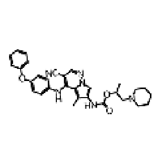 Cc1c(NC(=O)OC(C)CN2CCCCC2)cn2ncc(C#N)c(Nc3ccc(Oc4ccccc4)cc3)c12